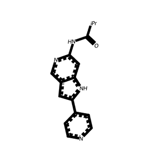 CC(C)C(=O)Nc1cc2[nH]c(-c3ccncc3)cc2cn1